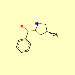 C[C@@H]1CN[C@@H](C(O)c2ccccc2)C1